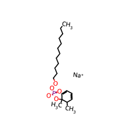 CCCCCCCCCCCCOOP(=O)([O-])OC1(C)C=CC=CC1C.[Na+]